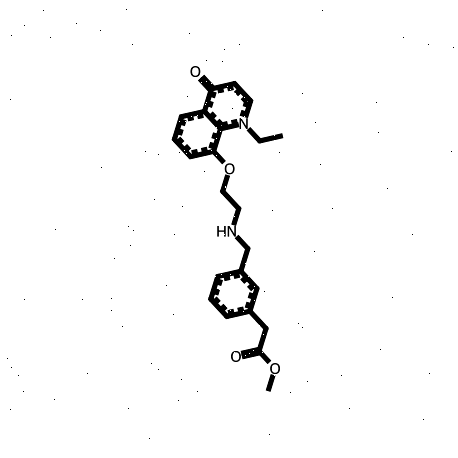 CCn1ccc(=O)c2cccc(OCCNCc3cccc(CC(=O)OC)c3)c21